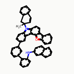 CC1(n2c3ccc(-c4cccc(-c5ccccc5Nc5ccc6ccccc6c5)c4)cc3c3c4oc5ccccc5c4ccc32)C=Cc2ccccc2C1